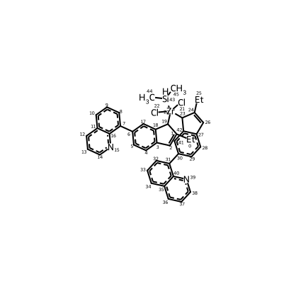 CCC1=Cc2ccc(-c3cccc4cccnc34)cc2[CH]1[Zr]([Cl])([Cl])([CH]1C(CC)=Cc2ccc(-c3cccc4cccnc34)cc21)[SiH](C)C